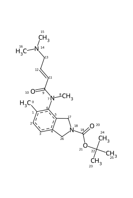 Cc1ccc2c(c1N(C)C(=O)/C=C/CN(C)C)CN(C(=O)OC(C)(C)C)C2